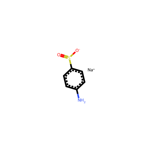 Nc1ccc(S(=O)[O-])cc1.[Na+]